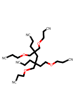 N#CCCOCCC(CCC#N)(COCCC#N)CC(CCC#N)(COCCC#N)COCCC#N